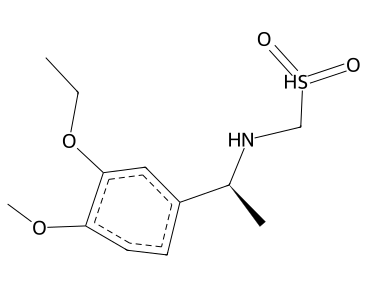 CCOc1cc([C@H](C)NC[SH](=O)=O)ccc1OC